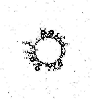 CCCC[C@H]1C(=O)N2C[C@H](O)C[C@@H]2C(=O)N[C@@H](CC(=O)O)C(=O)N[C@@H](C(C)C)C(=O)N(C)[C@@H](Cc2ccccc2)C(=O)N[C@@H](CCC(=O)O)C(=O)N2C[C@H](O)C[C@H]2C(=O)N[C@@H](Cc2c[nH]c3ccccc23)C(=O)N[C@@H](Cc2ccc(O)cc2)C(=O)N[C@@H](CCC(N)=O)C(=O)N[C@H](C(=O)NCC(N)=O)CSCC(=O)N[C@@H](Cc2cc(F)c(F)c(F)c2)C(=O)N(C)[C@@H](Cc2ccccc2)C(=O)N1C